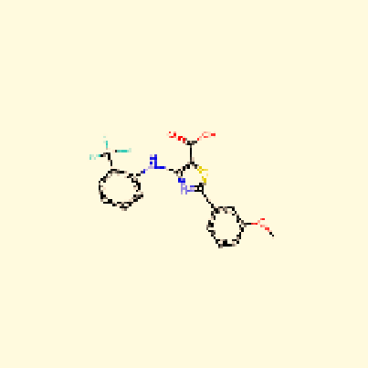 COc1cccc(-c2nc(Nc3ccccc3C(F)(F)F)c(C(=O)O)s2)c1